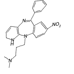 CN(C)CCCN1C2=C(C=CCN2)N=C(c2ccccc2)c2cc([N+](=O)[O-])ccc21